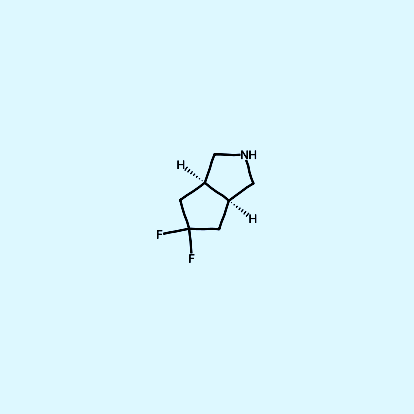 FC1(F)C[C@H]2CNC[C@H]2C1